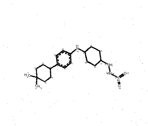 CC1(C)CCC(c2ccc(NC3CCC(NN[SH](=O)=O)CC3)cc2)CC1